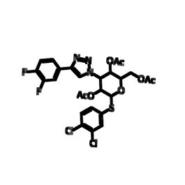 CC(=O)OCC1OC(Sc2ccc(Cl)c(Cl)c2)C(OC(C)=O)C(n2cc(-c3ccc(F)c(F)c3)nn2)C1OC(C)=O